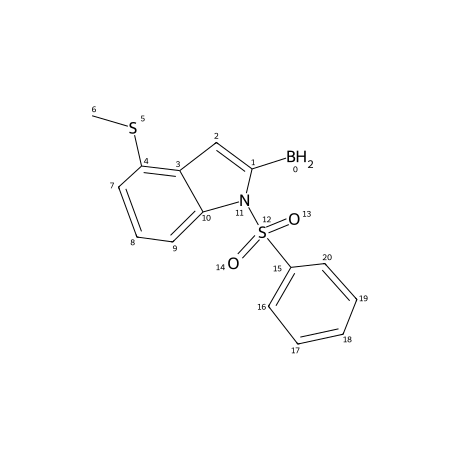 Bc1cc2c(SC)cccc2n1S(=O)(=O)c1ccccc1